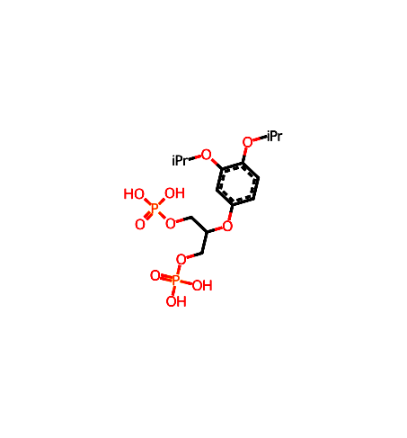 CC(C)Oc1ccc(OC(COP(=O)(O)O)COP(=O)(O)O)cc1OC(C)C